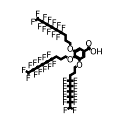 O=C(O)c1cc(OCCCC(F)(F)C(F)(F)C(F)(F)C(F)(F)C(F)(F)C(F)F)c(OCCCC(F)(F)C(F)(F)C(F)(F)C(F)(F)C(F)(F)C(F)F)c(OCCCC(F)(F)C(F)(F)C(F)(F)C(F)(F)C(F)(F)C(F)F)c1